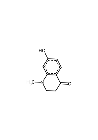 CN1CCC(=O)c2ccc(O)cc21